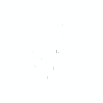 O=COC1CCCC(NCCCn2c(=O)cnc3cc(F)c(F)cc32)C1